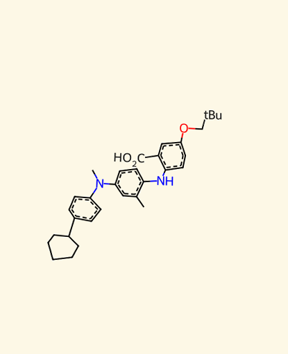 Cc1cc(N(C)c2ccc(C3CCCCC3)cc2)ccc1Nc1ccc(OCC(C)(C)C)cc1C(=O)O